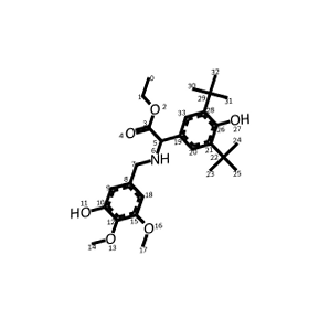 CCOC(=O)C(NCc1cc(O)c(OC)c(OC)c1)c1cc(C(C)(C)C)c(O)c(C(C)(C)C)c1